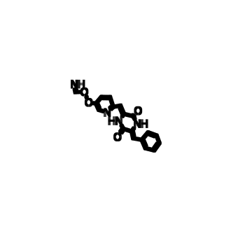 N=COOc1ccc(C=c2[nH]c(=O)c(=Cc3ccccc3)[nH]c2=O)nc1